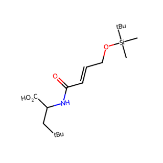 CC(C)(C)CC(NC(=O)C=CCO[Si](C)(C)C(C)(C)C)C(=O)O